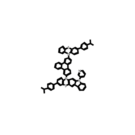 CC(C)c1ccc(-c2ccc3c(c2)Sc2ccccc2N3c2ccc3c4ccc(N5c6ccc(-c7ccc(C(C)C)cc7)cc6Sc6cc7c8ccccc8n(-c8cccnc8)c7cc65)cc4c4ccccc4c3c2)cc1